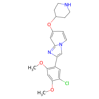 COc1cc(OC)c(-c2cn3ccc(OC4CCNCC4)cc3n2)cc1Cl